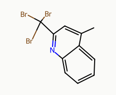 Cc1cc(C(Br)(Br)Br)nc2ccccc12